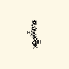 CC(C)(C)OC(=O)Nc1ccc(C(=O)CC(O)CC2CCN(Cc3ccccc3)CC2)cc1